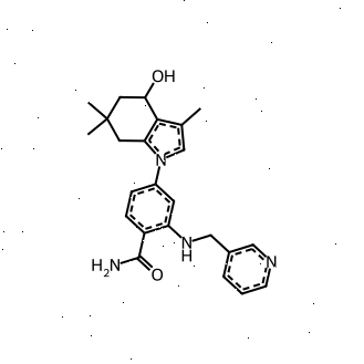 Cc1cn(-c2ccc(C(N)=O)c(NCc3cccnc3)c2)c2c1C(O)CC(C)(C)C2